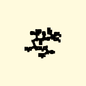 CC(=O)Cl.CC(C)C[C@H](NC(=O)OC(C)(C)C)C(=O)O